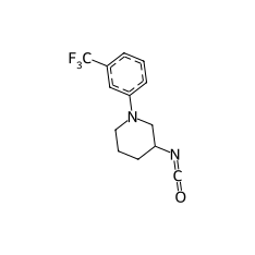 O=C=NC1CCCN(c2cccc(C(F)(F)F)c2)C1